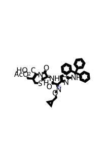 CC(=O)OCC1=C(C(=O)O)N2C(=O)[C@@H](NC(=O)/C(=N\OCC3CC3)c3csc(NC(c4ccccc4)(c4ccccc4)c4ccccc4)n3)[C@H]2SC1